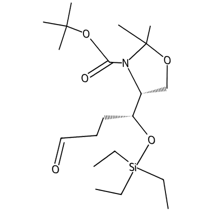 CC[Si](CC)(CC)O[C@H](CCC=O)[C@H]1COC(C)(C)N1C(=O)OC(C)(C)C